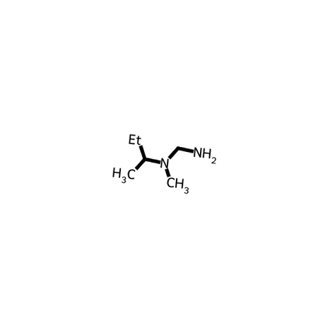 CCC(C)N(C)CN